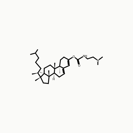 CC(C)CCC[C@H](C)[C@@]1(C)CC[C@@]2(C)[C@@H]3CC=C4C=C(OC(=O)NCCN(C)C)CC[C@]4(C)[C@@]3(C)CC[C@@]21C